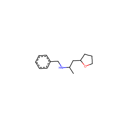 CC(CC1CCCO1)NCc1ccccc1